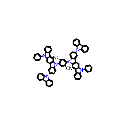 N#Cc1cc(-n2c3ccc(-n4c5ccccc5c5ccccc54)cc3c3cc4c(cc32)c2ccccc2n4-c2ccccc2)c(C#N)cc1-n1c2ccc(-n3c4ccccc4c4ccccc43)cc2c2cc3c(cc21)c1ccccc1n3-c1ccccc1